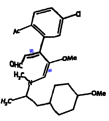 COC(=C/N(C)C(C)CC1CCC(OC)CC1)/C(=C\C=O)c1cc(Cl)ccc1C(C)=O